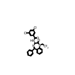 O=C(N[C@@H]1N=C(c2ccccc2)c2ccccc2N(CC(F)(F)F)C1=O)c1cc(Cl)cc(Cl)c1